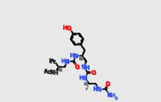 CC(=O)N[C@H](CNC(=O)N[C@H](CNC(=O)N[C@@H](C)CNC(N)=O)Cc1ccc(O)cc1)C(C)C